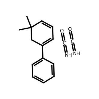 CC1(C)C=CC=C(c2ccccc2)C1.N=C=O.N=C=O